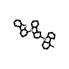 Cc1cccc2c1c1ccccc1n2-c1ccc2c(c1)c1ccccc1n2-c1cccc2c1sc1ccccc12